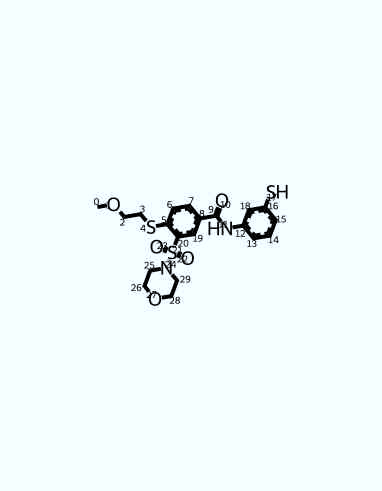 COCCSc1ccc(C(=O)Nc2cccc(S)c2)cc1S(=O)(=O)N1CCOCC1